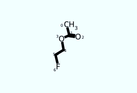 CC(=O)OC[CH]F